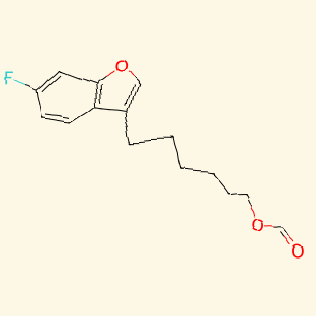 O=COCCCCCCc1coc2cc(F)ccc12